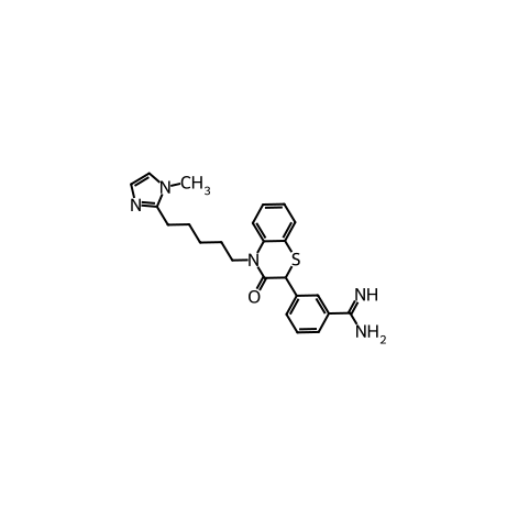 Cn1ccnc1CCCCCN1C(=O)C(c2cccc(C(=N)N)c2)Sc2ccccc21